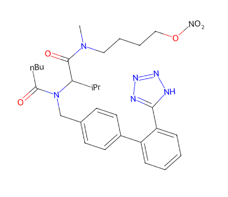 CCCCC(=O)N(Cc1ccc(-c2ccccc2-c2nnn[nH]2)cc1)C(C(=O)N(C)CCCCO[N+](=O)[O-])C(C)C